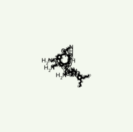 CCCCc1ccc(Oc2nc(C)c(C(=O)N[C@@H](CCN)C(=O)N(C)[C@@H]3C(=O)N[C@@H](C)C(=O)N[C@H](C(=O)NCC#N)Cc4ccc(OCCN)c(c4)-c4cc3ccc4OCCN)c(C)n2)cc1CCCC